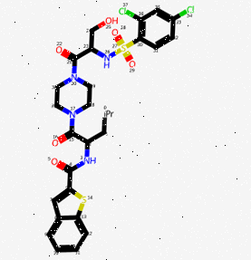 CC(C)CC(NC(=O)c1cc2ccccc2s1)C(=O)N1CCN(C(=O)C(CO)NS(=O)(=O)c2ccc(Cl)cc2Cl)CC1